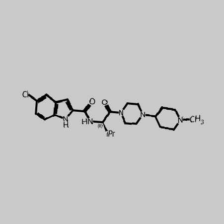 CC(C)[C@@H](NC(=O)c1cc2cc(Cl)ccc2[nH]1)C(=O)N1CCN(C2CCN(C)CC2)CC1